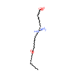 CCCCCCCC/C=C\CCCCCCCCOC(=O)CCCCCCCCCCCCCCCCCNC(CN)CCCCCCCCCCCCCCCCCC(=O)O